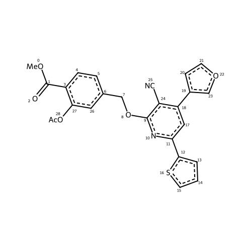 COC(=O)c1ccc(COc2nc(-c3cccs3)cc(-c3ccoc3)c2C#N)cc1OC(C)=O